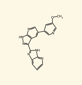 COc1cncc(-c2cnc3[nH]nc(-c4nc5cccnc5[nH]4)c3c2)c1